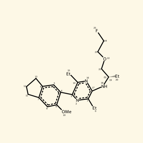 CCc1nc(-c2cc3c(cc2OC)CCC3)c(CC)nc1N[C@@H](CC)COCCF